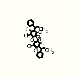 C=CC(c1ccccc1)c1c(Cl)c(Cl)c(Oc2c(Cl)c(Cl)c(C(C=C)c3ccccc3)c(Cl)c2Cl)c(Cl)c1Cl